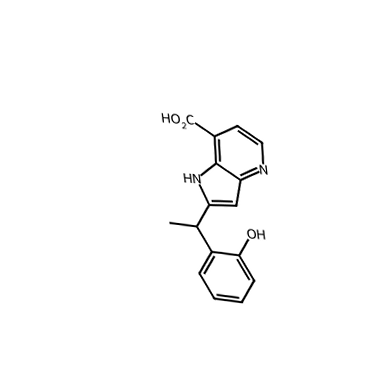 CC(c1cc2nccc(C(=O)O)c2[nH]1)c1ccccc1O